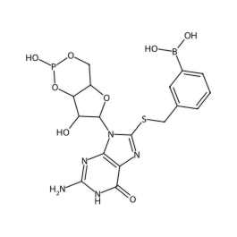 Nc1nc2c(nc(SCc3cccc(B(O)O)c3)n2C2OC3COP(O)OC3C2O)c(=O)[nH]1